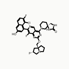 O=C1NC[C@]2(CCCN(c3nc(OC[C@@]45CCCN4C[C@H](F)C5)nc4c(F)c(-c5cc(O)cc6ccc(F)c(Cl)c56)ncc34)C2)N1